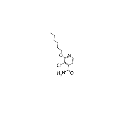 CCCCCCOc1nccc(C(N)=O)c1Cl